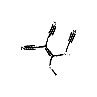 CSC(NC#N)=C(C#N)C#N